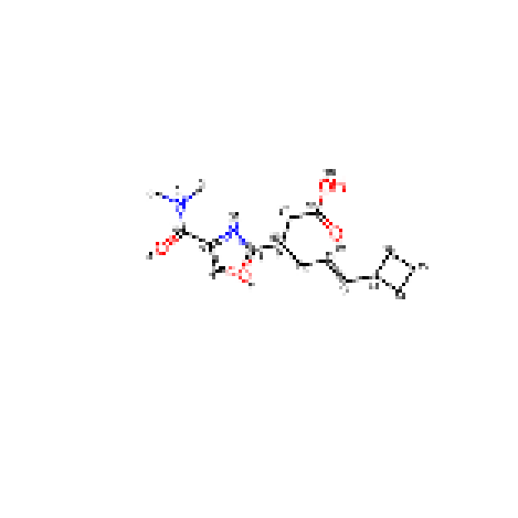 CN(C)C(=O)c1coc([C@H](CC=CC2CCC2)CC(=O)O)n1